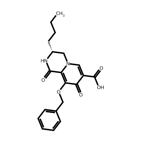 CCCC[C@@H]1Cn2cc(C(=O)O)c(=O)c(OCc3ccccc3)c2C(=O)N1